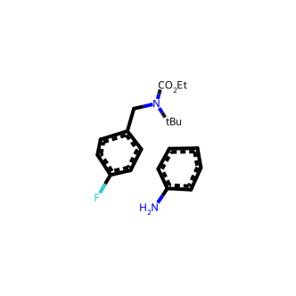 CCOC(=O)N(Cc1ccc(F)cc1)C(C)(C)C.Nc1ccccc1